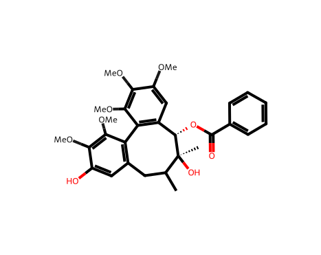 COc1cc2c(c(OC)c1OC)-c1c(cc(O)c(OC)c1OC)CC(C)[C@](C)(O)[C@H]2OC(=O)c1ccccc1